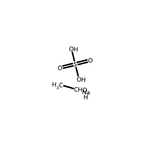 CC=O.O=S(=O)(O)O.[NaH]